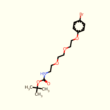 CC(C)(C)OC(=O)NCCOCCOCCOc1ccc(Br)cc1